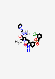 Cc1[nH]c(/C=C2\C(=O)Nc3ccc(S(=O)(=O)Cc4cccc(Cl)c4)cc32)c(C)c1C(=O)NCCN1CCCC1